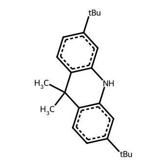 CC(C)(C)c1ccc2c(c1)Nc1cc(C(C)(C)C)ccc1C2(C)C